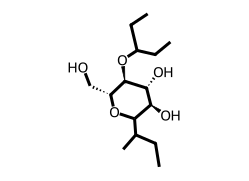 CCC(CC)O[C@H]1[C@H](O)[C@@H](O)C(C(C)CC)O[C@@H]1CO